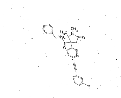 CN1C(=O)CC(C(=O)OCc2ccccc2)(c2ccc(C#Cc3cccc(F)c3)nn2)C1(C)C